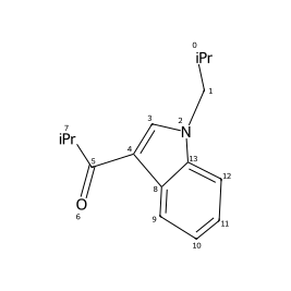 CC(C)Cn1cc(C(=O)C(C)C)c2ccccc21